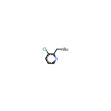 CCCCCc1ncccc1Cl